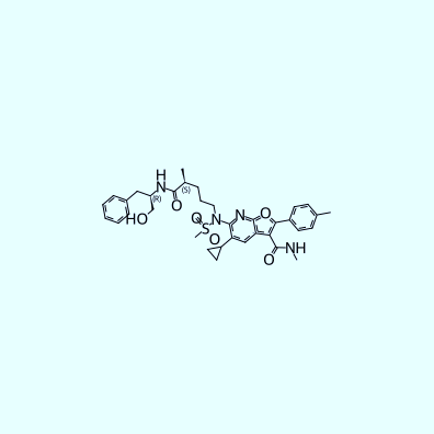 CNC(=O)c1c(-c2ccc(C)cc2)oc2nc(N(CCC[C@H](C)C(=O)N[C@@H](CO)Cc3ccccc3)S(C)(=O)=O)c(C3CC3)cc12